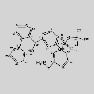 NCC1=C[N+](c2cccc(C(O)c3ccccc3-c3ccccc3)c2)(S(=O)(=O)CC(F)(F)F)CC=C1